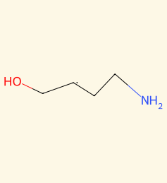 NCC[CH]CO